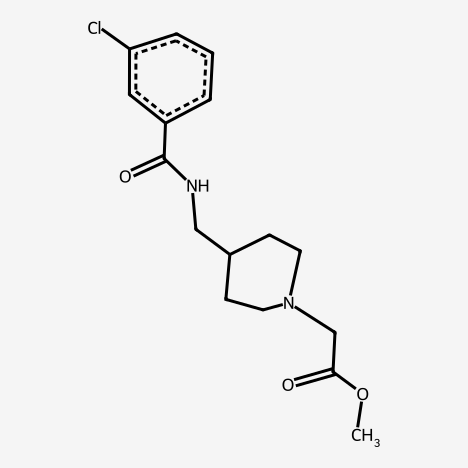 COC(=O)CN1CCC(CNC(=O)c2cccc(Cl)c2)CC1